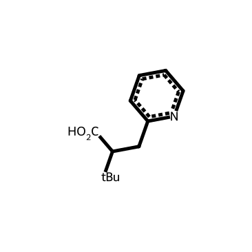 CC(C)(C)C(Cc1ccccn1)C(=O)O